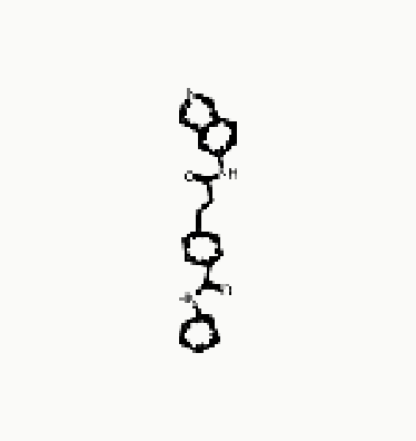 O=C(CCc1ccc(C(=O)Nc2ccccc2)cc1)Nc1ccc2cnccc2c1